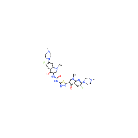 CCn1cc(-c2nnc(NC(=O)Nc3cn(C4CC4)c4cc(N5CCN(C)CC5)c(F)cc4c3=O)s2)c(=O)c2cc(F)c(N3CCN(C)CC3)nc21